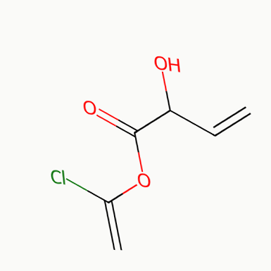 C=CC(O)C(=O)OC(=C)Cl